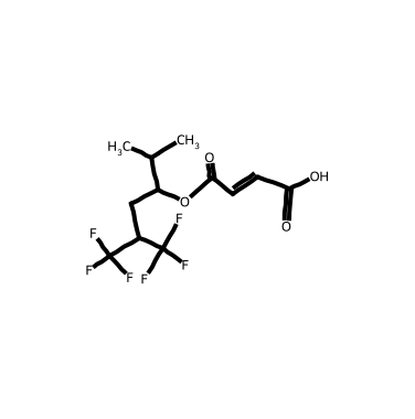 CC(C)C(CC(C(F)(F)F)C(F)(F)F)OC(=O)C=CC(=O)O